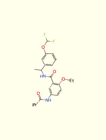 CCOc1ccc(NC(=O)C(C)C)cc1C(=O)NC(C)c1cccc(OC(F)F)c1